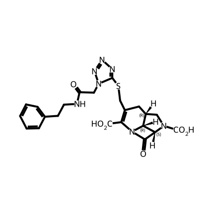 O=C(Cn1nnnc1SCC1=C(C(=O)O)N2C(=O)[C@@H]3[C@H]2[C@H](C1)CN3C(=O)O)NCCc1ccccc1